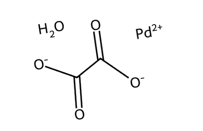 O.O=C([O-])C(=O)[O-].[Pd+2]